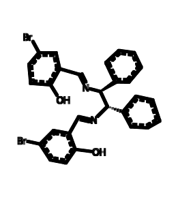 Oc1ccc(Br)cc1/C=N/[C@@H](c1ccccc1)[C@@H](/N=C/c1cc(Br)ccc1O)c1ccccc1